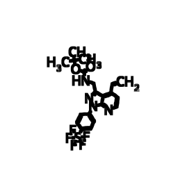 C=Cc1ccnc2c1c(CNC(=O)OC(C)(C)C)nn2-c1ccc(S(F)(F)(F)(F)F)cc1